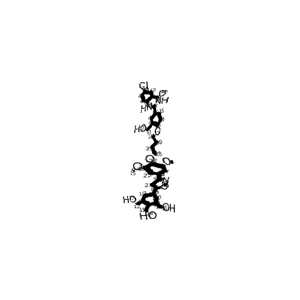 COc1cc(C2=NOC(c3cc(CO)c(CO)c(CO)c3)C2)cc(OC)c1OCCCCOc1ccc(C2NC(=O)c3cc(Cl)ccc3N2)cc1CO